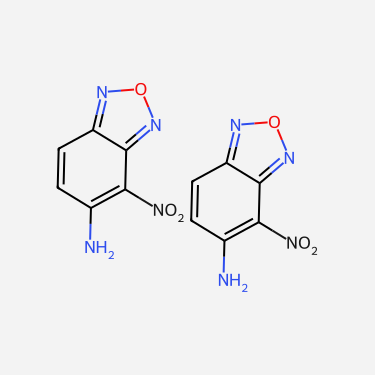 Nc1ccc2nonc2c1[N+](=O)[O-].Nc1ccc2nonc2c1[N+](=O)[O-]